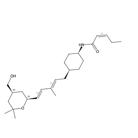 CC/C=C\C(=O)N[C@H]1CC[C@@H](C/C=C(C)/C=C/[C@@H]2C[C@H](CO)CC(C)(C)O2)CC1